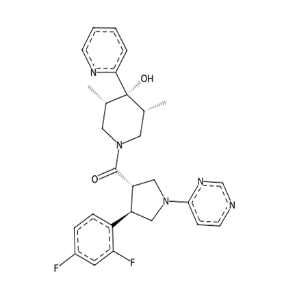 C[C@@H]1CN(C(=O)[C@@H]2CN(c3ccncn3)C[C@H]2c2ccc(F)cc2F)C[C@H](C)[C@@]1(O)c1ccccn1